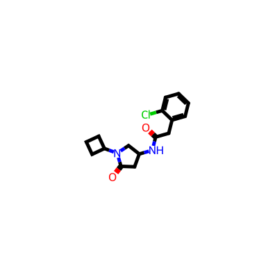 O=C(Cc1ccccc1Cl)NC1CC(=O)N(C2CCC2)C1